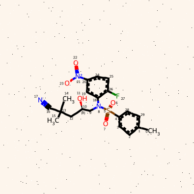 Cc1ccc(S(=O)(=O)N(C[C@H](O)CC(C)(C)C#N)c2cc([N+](=O)[O-])ccc2F)cc1